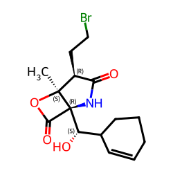 C[C@@]12OC(=O)[C@]1([C@@H](O)C1C=CCCC1)NC(=O)[C@@H]2CCBr